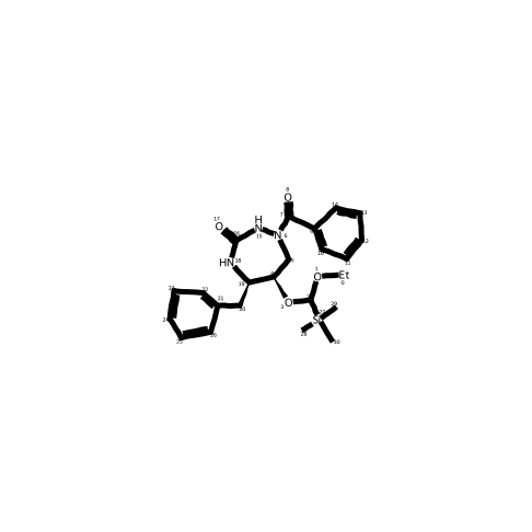 CCOC(O[C@@H]1CN(C(=O)c2ccccc2)NC(=O)N[C@@H]1Cc1ccccc1)[Si](C)(C)C